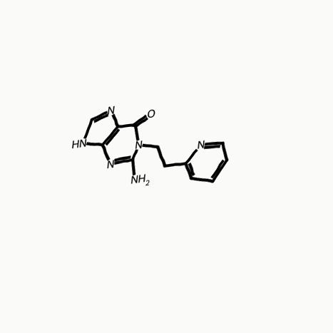 Nc1nc2[nH]cnc2c(=O)n1CCc1ccccn1